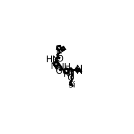 Cc1ncc(NC(=O)CCN2CCCC23CCC3)cc1NC(=O)c1cnc2c(c1)cc(-c1cnn(C)c1)n2COCC[Si](C)(C)C